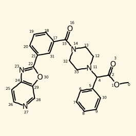 COC(=O)C(c1ccccc1)N1CCN(C(=O)c2cccc(-c3nc4ccncc4o3)c2)CC1